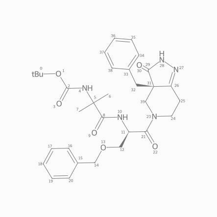 CC(C)(C)OC(=O)NC(C)(C)C(=O)N[C@H](COCc1ccccc1)C(=O)N1CCC2=NNC(=O)[C@@]2(Cc2ccccc2)C1